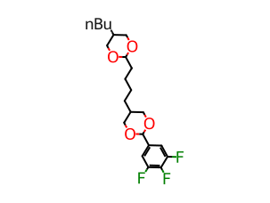 CCCCC1COC(CCCCC2COC(c3cc(F)c(F)c(F)c3)OC2)OC1